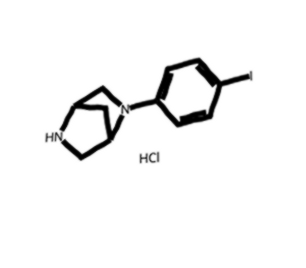 Cl.Ic1ccc(N2CC3CC2CN3)cc1